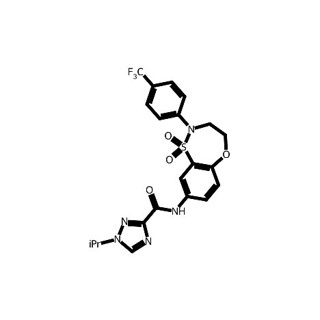 CC(C)n1cnc(C(=O)Nc2ccc3c(c2)S(=O)(=O)N(c2ccc(C(F)(F)F)cc2)CCO3)n1